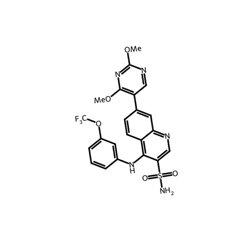 COc1ncc(-c2ccc3c(Nc4cccc(OC(F)(F)F)c4)c(S(N)(=O)=O)cnc3c2)c(OC)n1